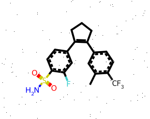 Cc1cc(C2=C(c3ccc(S(N)(=O)=O)c(F)c3)CCC2)ccc1C(F)(F)F